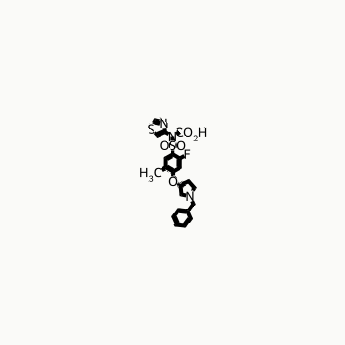 Cc1cc(S(=O)(=O)N(C(=O)O)c2cscn2)c(F)cc1O[C@H]1CCN(Cc2ccccc2)C1